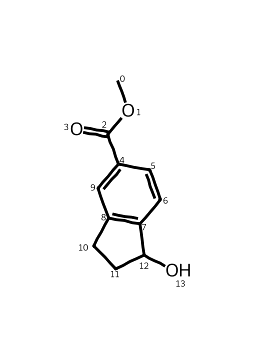 COC(=O)c1ccc2c(c1)CCC2O